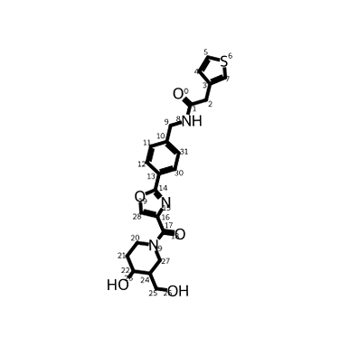 O=C(Cc1ccsc1)NCc1ccc(-c2nc(C(=O)N3CCC(O)C(CO)C3)co2)cc1